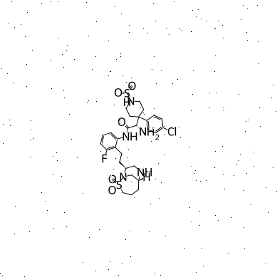 N[C@H](C(=O)Nc1cccc(F)c1CC[C@H]1CN[C@@H]2CCCS(=O)(=O)N1C2)C1(c2ccc(Cl)cc2)CCN([SH](=O)=O)CC1